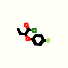 CCC(Oc1ccc(F)cc1)C(=O)Cl